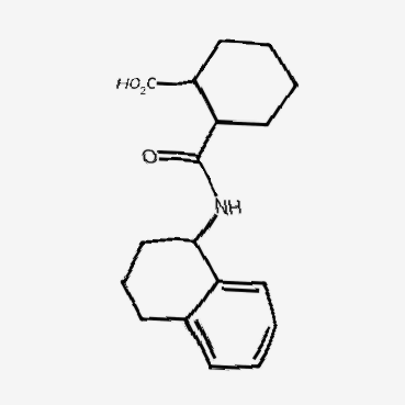 O=C(O)C1CCCCC1C(=O)NC1CCCc2ccccc21